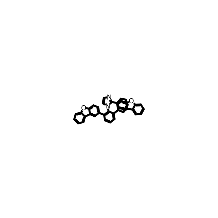 c1ccc(-c2nccn2-c2c(-c3ccc4oc5ccccc5c4c3)cccc2-c2ccc3oc4ccccc4c3c2)cc1